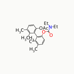 CCN(CC)C(=O)Oc1ccc(C)c(C)c1-c1c(OC(C)=O)ccc(C)c1C